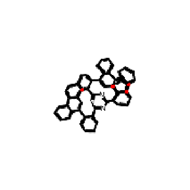 c1ccc(-c2cc3ccccc3c3ccccc23)c(-c2nc(-c3ccccc3-c3cc4ccccc4c4ccccc34)nc(-c3cccc4c3oc3ccccc34)n2)c1